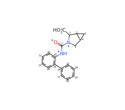 O=C(O)C1C2CC2CN1C(=O)Nc1ccccc1-c1ccccc1